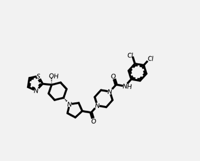 O=C(Nc1ccc(Cl)c(Cl)c1)N1CCN(C(=O)C2CCN([C@H]3CC[C@](O)(c4nccs4)CC3)C2)CC1